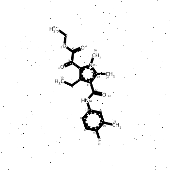 CCOC(=O)C(=O)c1c(CC)c(C(=O)Nc2ccc(F)c(C)c2)c(C)n1C